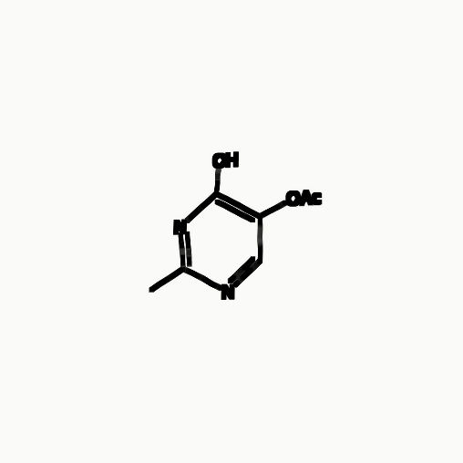 CC(=O)Oc1cnc(C)nc1O